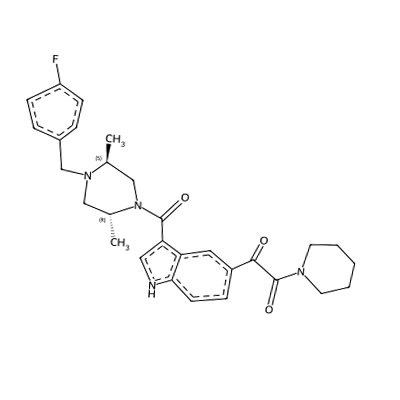 C[C@@H]1CN(Cc2ccc(F)cc2)[C@@H](C)CN1C(=O)c1c[nH]c2ccc(C(=O)C(=O)N3CCCCC3)cc12